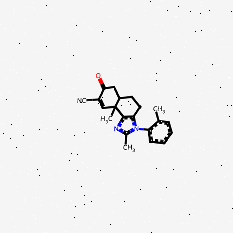 Cc1ccccc1-n1c(C)nc2c1CCC1CC(=O)C(C#N)=CC21C